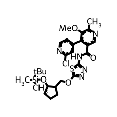 COc1c(C)ncc(C(=O)Nc2nnc(OCC3CCCC3O[Si](C)(C)C(C)(C)C)s2)c1-c1ccnc(Cl)c1